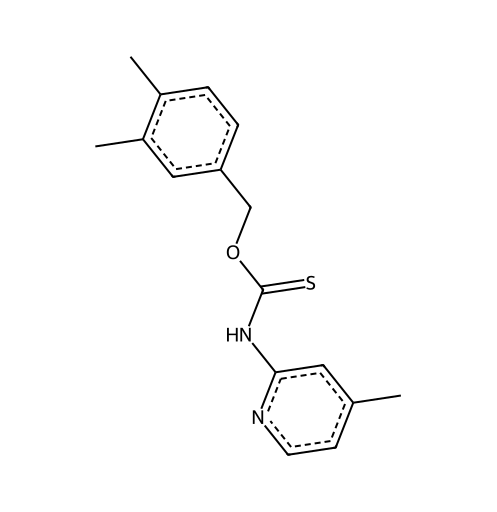 Cc1ccnc(NC(=S)OCc2ccc(C)c(C)c2)c1